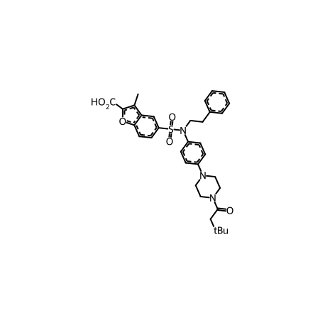 Cc1c(C(=O)O)oc2ccc(S(=O)(=O)N(CCc3ccccc3)c3ccc(N4CCN(C(=O)CC(C)(C)C)CC4)cc3)cc12